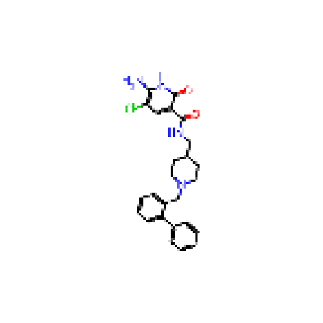 Nc1[nH]c(=O)c(C(=O)NCC2CCN(Cc3ccccc3-c3ccccc3)CC2)cc1Cl